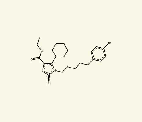 CCOC(=O)c1sc(=O)n(CCCCCc2ccc(Br)cc2)c1C1CCCCC1